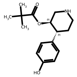 CC(C)(C)C(=O)O[C@H]1CNCC[C@@H]1c1ccc(O)cc1